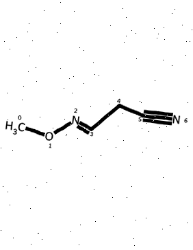 CO/N=C/CC#N